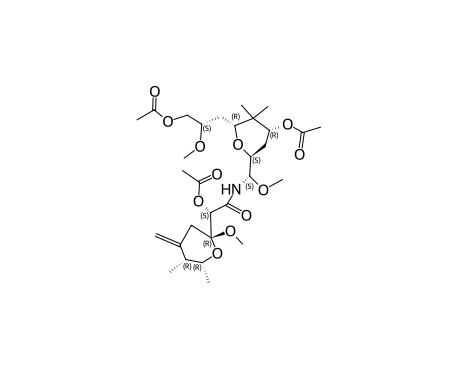 C=C1C[C@](OC)([C@H](OC(C)=O)C(=O)N[C@@H](OC)[C@@H]2C[C@@H](OC(C)=O)C(C)(C)[C@@H](C[C@@H](COC(C)=O)OC)O2)O[C@H](C)[C@@H]1C